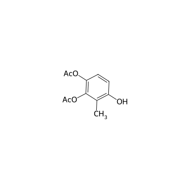 CC(=O)Oc1ccc(O)c(C)c1OC(C)=O